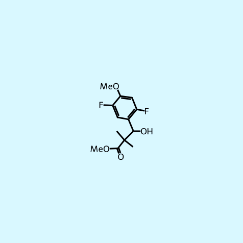 COC(=O)C(C)(C)C(O)c1cc(F)c(OC)cc1F